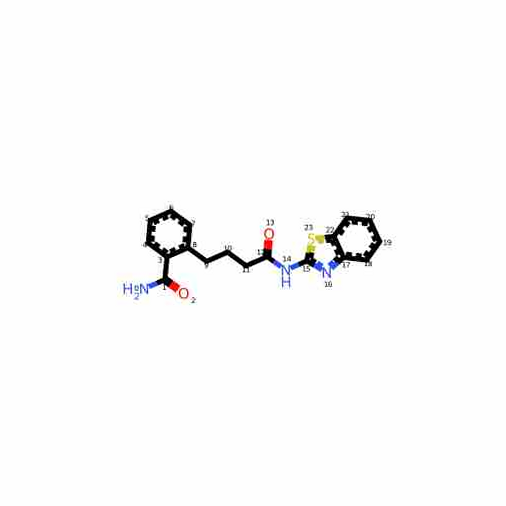 NC(=O)c1ccccc1CC[CH]C(=O)Nc1nc2ccccc2s1